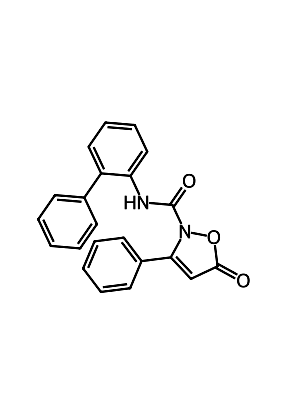 O=C(Nc1ccccc1-c1ccccc1)n1oc(=O)cc1-c1ccccc1